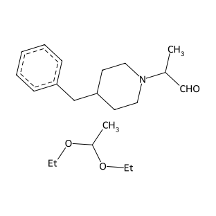 CC(C=O)N1CCC(Cc2ccccc2)CC1.CCOC(C)OCC